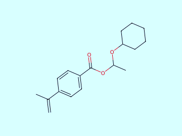 C=C(C)c1ccc(C(=O)OC(C)OC2CCCCC2)cc1